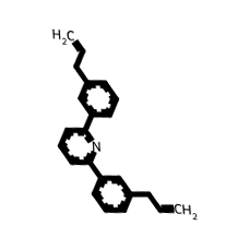 C=CCc1cccc(-c2cccc(-c3cccc(CC=C)c3)n2)c1